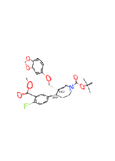 COC(=O)c1cc([C@@H]2CCN(C(=O)OC(C)(C)C)C[C@H]2COc2ccc3c(c2)OCO3)ccc1F